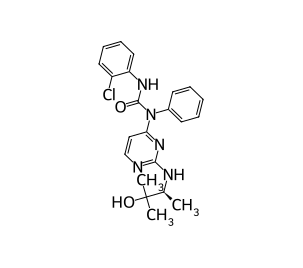 C[C@H](Nc1nccc(N(C(=O)Nc2ccccc2Cl)c2ccccc2)n1)C(C)(C)O